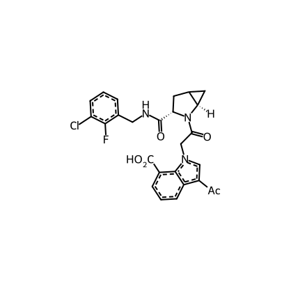 CC(=O)c1cn(CC(=O)N2[C@@H]3CC3C[C@H]2C(=O)NCc2cccc(Cl)c2F)c2c(C(=O)O)cccc12